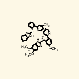 COc1ccc(-c2ccccn2)c([S+]([O-])c2nc3cc(OC)c(OC)cc3[nH]2)c1.Cc1ccnc(-c2ccccc2Sc2nc3ccccc3[nH]2)c1